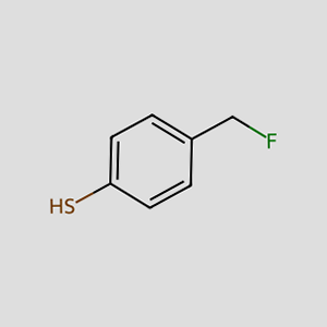 FCc1ccc(S)cc1